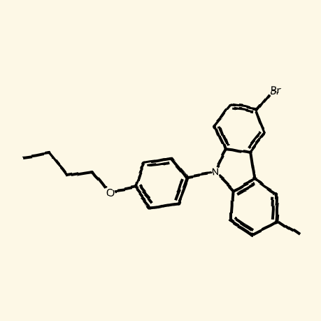 CCCCOc1ccc(-n2c3ccc(C)cc3c3cc(Br)ccc32)cc1